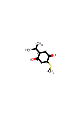 CSC1CC(=O)C(C(C)C)CC1=O